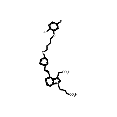 CC(=O)c1ccc(F)cc1OCCCCOc1ccc(C=Cc2cccc3c2c(CC(=O)O)cn3CCCC(=O)O)cc1